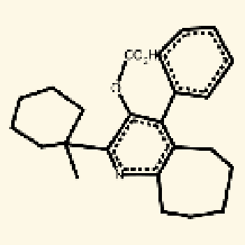 CC1(c2nc3c(c(-c4ccccc4)c2OC(=O)O)CCCCC3)CCCCC1